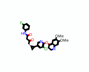 COc1cc2c(cc1OC)=C(Oc1ncc(C3C[C@@H]3CC(=O)CC(=O)Nc3cccc(F)c3)cc1Cl)CCN=2